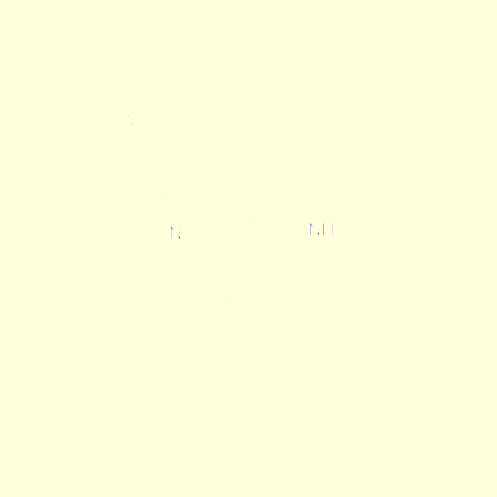 c1ccc(Cc2nc3c(c4c2[nH]c2ccccc24)CSC3)cc1